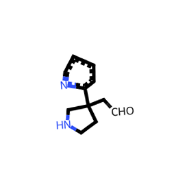 O=CCC1(c2ccccn2)CCNC1